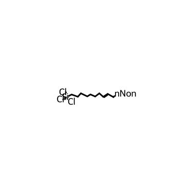 CCCCCCCCCCC=CCCCCCCC[Si](Cl)(Cl)Cl